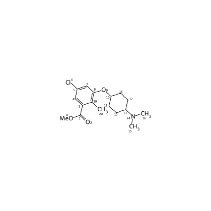 COC(=O)c1cc(Cl)cc(OC2CCC(N(C)C)CC2)c1C